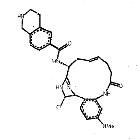 CNc1ccc2c(c1)NC(=O)CC/C=C/C[C@H](NC(=O)c1ccc3c(c1)CCNC3)C1=NC2C(Cl)N1